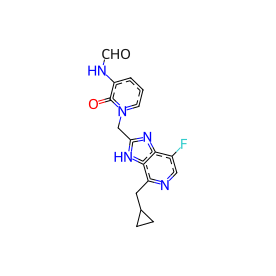 O=CNc1cccn(Cc2nc3c(F)cnc(CC4CC4)c3[nH]2)c1=O